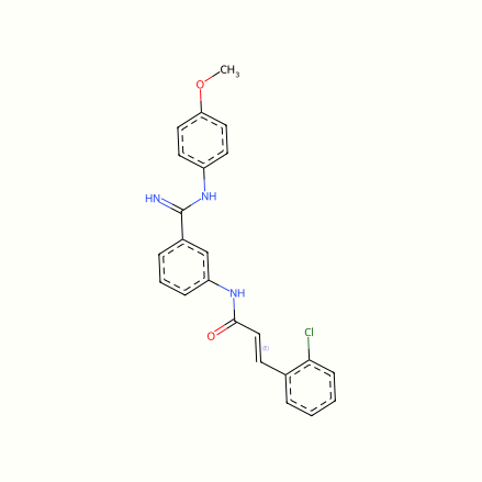 COc1ccc(NC(=N)c2cccc(NC(=O)/C=C/c3ccccc3Cl)c2)cc1